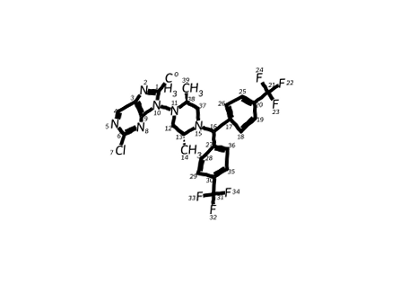 Cc1nc2cnc(Cl)nc2n1N1C[C@@H](C)N(C(c2ccc(C(F)(F)F)cc2)c2ccc(C(F)(F)F)cc2)C[C@@H]1C